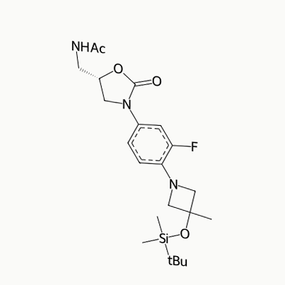 CC(=O)NC[C@H]1CN(c2ccc(N3CC(C)(O[Si](C)(C)C(C)(C)C)C3)c(F)c2)C(=O)O1